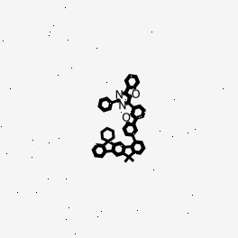 CC1(C)c2cc3c(cc2-c2c(-c4ccc5oc6c(-c7nc(-c8ccccc8)nc8c7oc7ccccc78)cccc6c5c4)cccc21)C1(CCCCC1)c1ccccc1-3